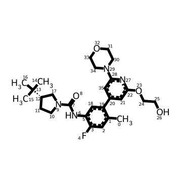 Cc1cc(F)c(NC(=O)N2CC[C@H](C(C)(C)C)C2)cc1-c1cc(OCCO)nc(N2CCOCC2)c1